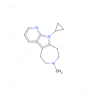 CN1CCc2c(n(C3CC3)c3ncccc23)CC1